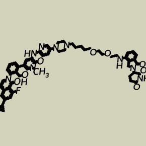 Cn1cc(-c2cccc(-n3ccc4cc(C5CC5)cc(F)c4c3=O)c2CO)cc(Nc2ccc(N3CCN(CCCCCOCCOCCNc4cccc5c4CN(C4CCC(=O)NC4=O)C5=O)CC3)cn2)c1=O